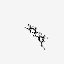 Cc1c(F)ccc(Nc2c([N+](=O)[O-])cc([N+](=O)[O-])cc2C(F)(F)F)c1F